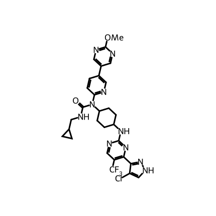 COc1ncc(-c2ccc(N(C(=O)NCC3CC3)C3CCC(Nc4ncc(C(F)(F)F)c(-c5n[nH]cc5Cl)n4)CC3)nc2)cn1